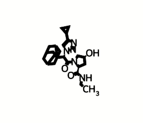 CCNC(=O)[C@@H]1C[C@@H](O)CN1C(=O)[C@@H](n1cc(C2CC2)nn1)C12CC3CC(CC(C3)C1)C2